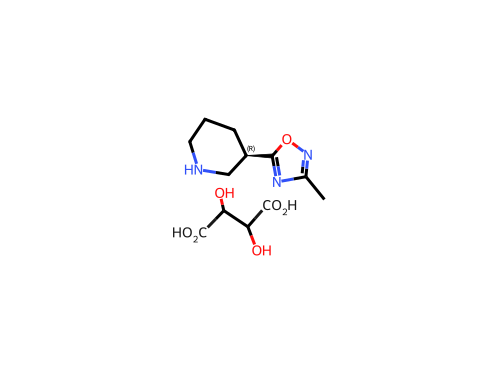 Cc1noc([C@@H]2CCCNC2)n1.O=C(O)C(O)C(O)C(=O)O